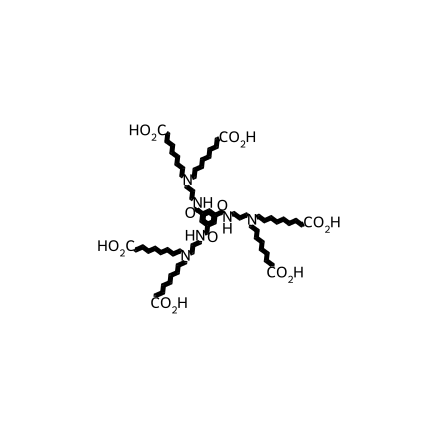 O=C(O)CCCCCCCCN(CCCCCCCCC(=O)O)CCCNC(=O)c1cc(C(=O)NCCCN(CCCCCCCCC(=O)O)CCCCCCCCC(=O)O)cc(C(=O)NCCCN(CCCCCCCCC(=O)O)CCCCCCCCC(=O)O)c1